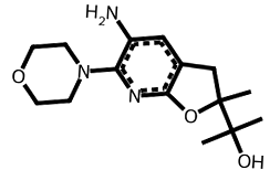 CC(C)(O)C1(C)Cc2cc(N)c(N3CCOCC3)nc2O1